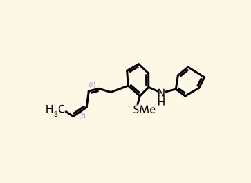 C/C=C\C=C/Cc1cccc(Nc2ccccc2)c1SC